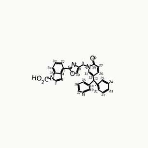 O=C(O)n1ccc2c(-c3nc(Cn4cc(C(c5ccccc5)c5ccccc5)ccc4=O)co3)cccc21